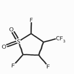 O=S1(=O)C(F)C(F)C(C(F)(F)F)C1F